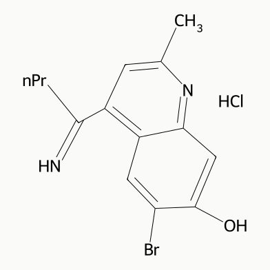 CCCC(=N)c1cc(C)nc2cc(O)c(Br)cc12.Cl